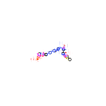 COc1ncc(-c2ccnc(N3CCc4c(sc5c4CCCC5)C3=O)c2[C@H](C)O)cc1Nc1ccc(N2CCN(C3CCN(c4ccc5c(c4)C(=O)N([C@H]4CCC(=O)N(COP(=O)(O)O)C4=O)C5=O)CC3)C[C@@H]2C)cn1